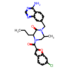 CCCC1C(=O)N(Cc2ccc3c(N)ncnc3c2)C(C)CN1C(=O)c1cc2ccc(Cl)cc2o1